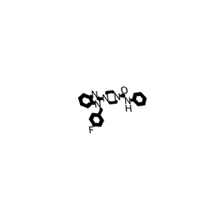 O=C(Nc1ccccc1)N1CCN(c2nc3ccccc3n2Cc2ccc(F)cc2)CC1